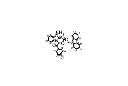 Cn1/c(=N/C(=O)OCC2c3ccccc3-c3ccccc32)n(CC(=O)c2ccc(Cl)cc2)c2ccccc21